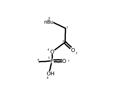 CCCCCC(=O)OP(C)(=O)O